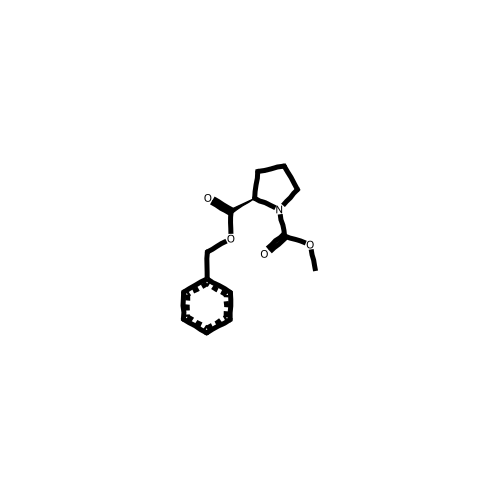 COC(=O)N1CCC[C@@H]1C(=O)OCc1ccccc1